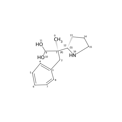 C[C@](Cc1ccccc1)(C(O)O)[C@@H]1CCCN1